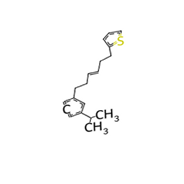 CC(C)c1cccc(CCC=CCCc2cccs2)c1